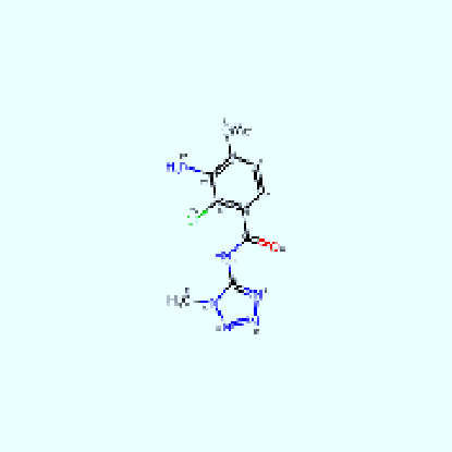 COc1ccc(C(=O)Nc2nnnn2C)c(Cl)c1N